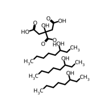 CCCCCC(O)CC.CCCCCC(O)CC.CCCCCC(O)CC.O=C(O)CC(O)(CC(=O)O)C(=O)O